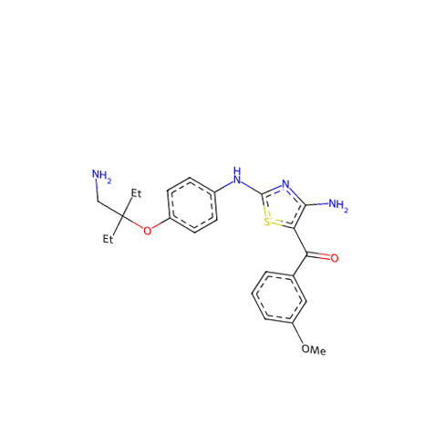 CCC(CC)(CN)Oc1ccc(Nc2nc(N)c(C(=O)c3cccc(OC)c3)s2)cc1